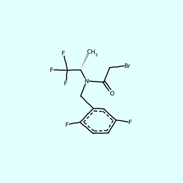 C[C@H](N(Cc1cc(F)ccc1F)C(=O)CBr)C(F)(F)F